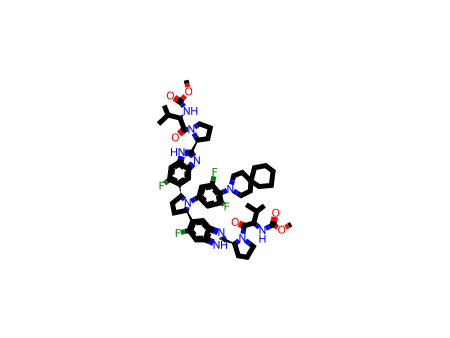 COC(=O)NC(C(=O)N1CCC[C@H]1c1nc2cc([C@H]3CC[C@H](c4cc5nc([C@@H]6CCCN6C(=O)[C@@H](NC(=O)OC)C(C)C)[nH]c5cc4F)N3c3cc(F)c(N4CCC5(CCCCC5)CC4)c(F)c3)c(F)cc2[nH]1)C(C)C